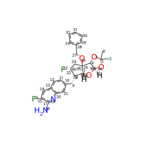 CC1(C)OC2[C@H](O[C@@H]3[C@H](Cc4ccc5cc(F)c(N)nc5c4)[C@H](F)C[C@]23OCc2ccccc2)O1